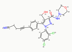 N#CCCC#Cc1ccc(-c2c(CO)c(C(=O)NN3CCOCC3)nn2-c2ccc(Cl)cc2Cl)cc1